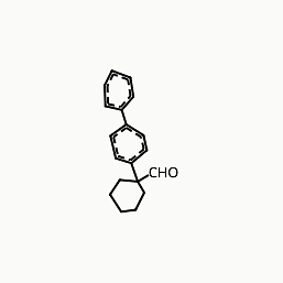 O=CC1(c2ccc(-c3ccccc3)cc2)CCCCC1